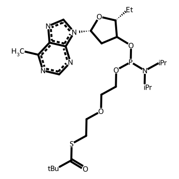 CC[C@H]1O[C@@H](n2cnc3c(C)ncnc32)CC1OP(OCCOCCSC(=O)C(C)(C)C)N(C(C)C)C(C)C